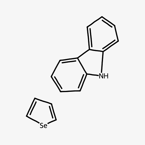 c1cc[se]c1.c1ccc2c(c1)[nH]c1ccccc12